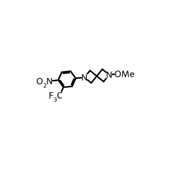 CON1CC2(C1)CN(c1ccc([N+](=O)[O-])c(C(F)(F)F)c1)C2